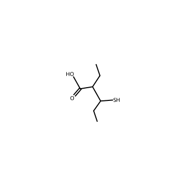 CCC(S)C(CC)C(=O)O